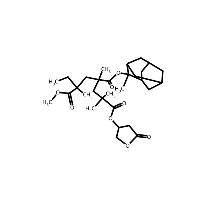 CCC(C)(CC(C)(CC(C)(C)C(=O)OC1COC(=O)C1)C(=O)OC1(C)C2CC3CC(C2)CC1C3)C(=O)OC